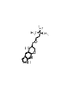 C[Si](C)(C)CCOCC1COc2nc3[nH]ccc3cc2N1